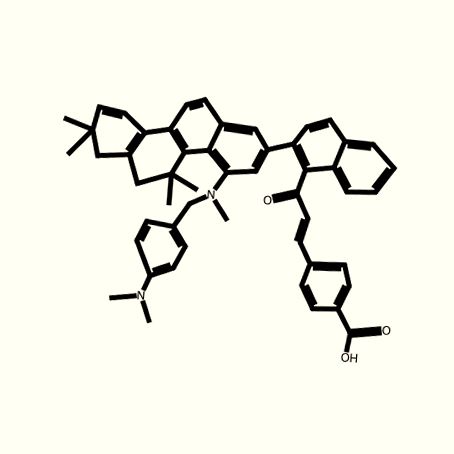 CN(C)c1ccc(CN(C)c2cc(-c3ccc4ccccc4c3C(=O)C=Cc3ccc(C(=O)O)cc3)cc3ccc4c(c23)C(C)(C)CC2=C4C=CC(C)(C)C2)cc1